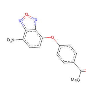 COC(=O)c1ccc(Oc2ccc([N+](=O)[O-])c3nonc23)cc1